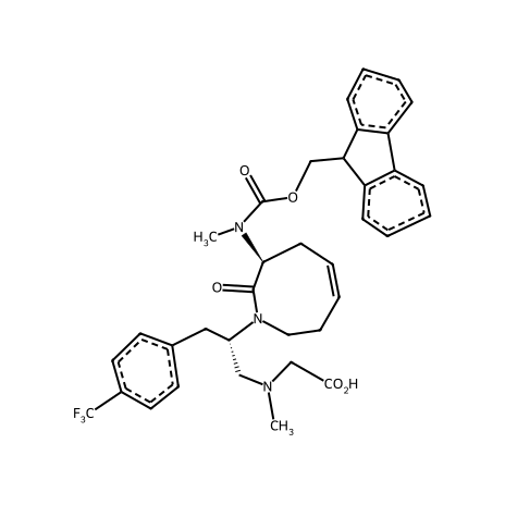 CN(CC(=O)O)C[C@H](Cc1ccc(C(F)(F)F)cc1)N1CC/C=C\C[C@H](N(C)C(=O)OCC2c3ccccc3-c3ccccc32)C1=O